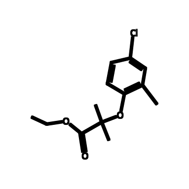 CCOC(=O)C(C)(C)Oc1ccc(Cl)cc1C